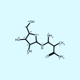 CC(C(N)=O)C(N)NC1OC(CO)C(O)C1O